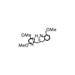 COCc1cccc(CSCc2nc(OC)cc(OC)n2)c1N